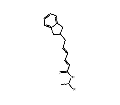 CC(C)C(C)NC(=O)C=CC=CCC1Cc2ccccc2C1